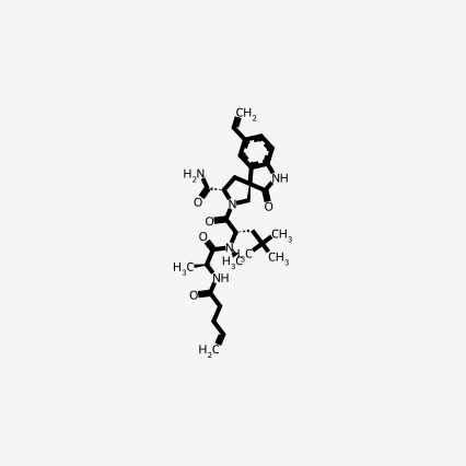 C=CCCC(=O)N[C@@H](C)C(=O)N(C)[C@@H](CC(C)(C)C)C(=O)N1C[C@]2(C[C@H]1C(N)=O)C(=O)Nc1ccc(C=C)cc12